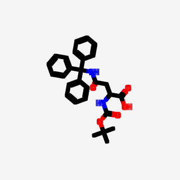 CC(C)(C)OC(=O)NC(CC(=O)NC(c1ccccc1)(c1ccccc1)c1ccccc1)C(=O)O